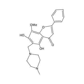 COc1c(O)c(CN2CCN(C)CC2)c(O)c2c(=O)cc(-c3ccccc3)oc12